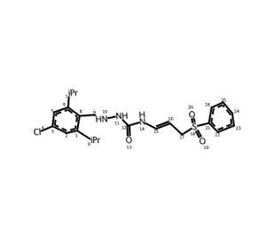 CC(C)c1cc(Cl)cc(C(C)C)c1CNNC(=O)NC=CCS(=O)(=O)c1ccccc1